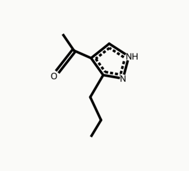 CCCc1n[nH]cc1C(C)=O